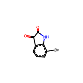 CCC(C)c1cccc2c1NC(=O)C2=O